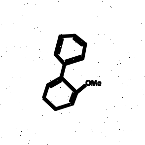 COC1=CCCC=C1c1ccccc1